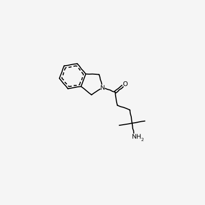 CC(C)(N)CCC(=O)N1Cc2ccccc2C1